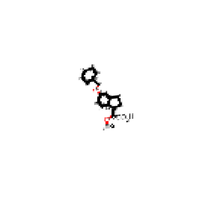 CCCCOC(C(=O)O)=C1CCc2cc(OCc3ccccc3)ccc21